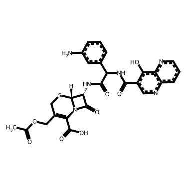 CC(=O)OCC1=C(C(=O)O)N2C(=O)[C@@H](NC(=O)C(NC(=O)c3cnc4cccnc4c3O)c3cccc(N)c3)[C@H]2SC1